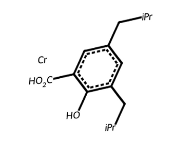 CC(C)Cc1cc(CC(C)C)c(O)c(C(=O)O)c1.[Cr]